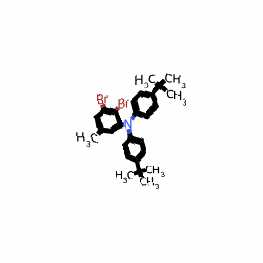 Cc1cc(Br)c(Br)c(N(c2ccc(C(C)(C)C)cc2)c2ccc(C(C)(C)C)cc2)c1